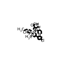 CC(C)CN1CCN(C2N=CC(c3ccc(Cl)cc3N3CCCC(n4ncc(C(=O)O)c4C(F)F)C3)=CN2C)CC1